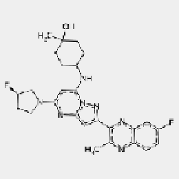 Cc1nc2ccc(F)cc2nc1-c1cc2nc(N3CC[C@@H](F)C3)cc(NC3CCC(C)(O)CC3)n2n1